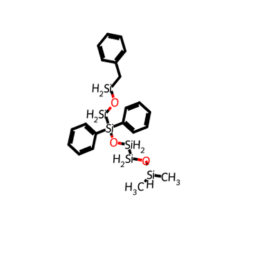 C[SiH](C)O[SiH2][SiH2]O[Si]([SiH2]O[SiH2]Cc1ccccc1)(c1ccccc1)c1ccccc1